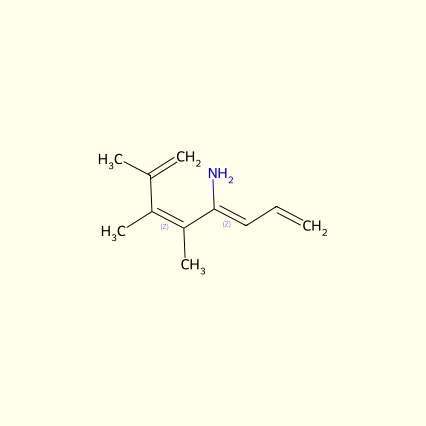 C=C/C=C(N)/C(C)=C(/C)C(=C)C